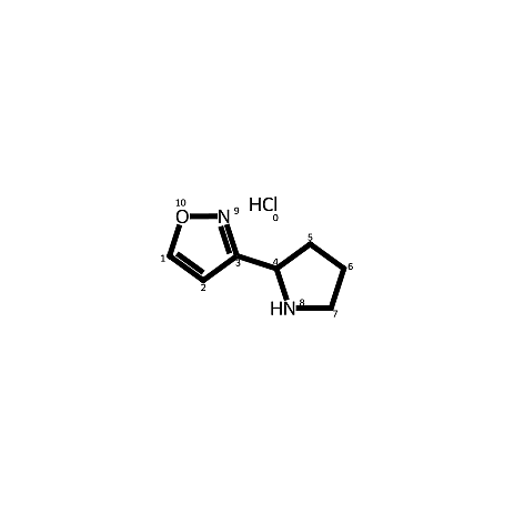 Cl.c1cc(C2CCCN2)no1